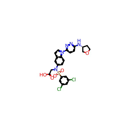 O=C(O)CN(c1ccc2c(ccn2-c2ccc(N[C@@H]3CCOC3)nn2)c1)S(=O)(=O)c1cc(Cl)cc(Cl)c1